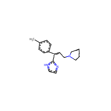 Cc1ccc(/C(=C/CN2CCCC2)c2ncc[nH]2)cc1